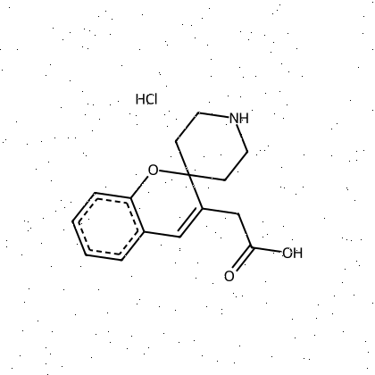 Cl.O=C(O)CC1=Cc2ccccc2OC12CCNCC2